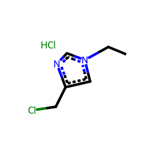 CCn1cnc(CCl)c1.Cl